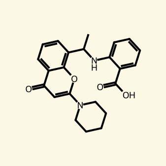 CC(Nc1ccccc1C(=O)O)c1cccc2c(=O)cc(N3CCCCC3)oc12